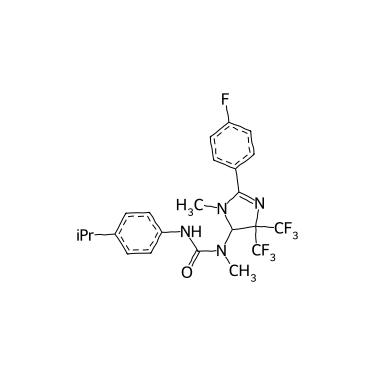 CC(C)c1ccc(NC(=O)N(C)C2N(C)C(c3ccc(F)cc3)=NC2(C(F)(F)F)C(F)(F)F)cc1